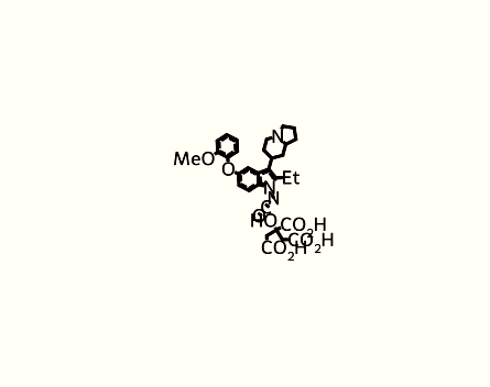 CCc1c(C2CCN3CCCC3C2)c2cc(Oc3ccccc3OC)ccc2n1N=C=O.O=C(O)CC(O)(CC(=O)O)C(=O)O